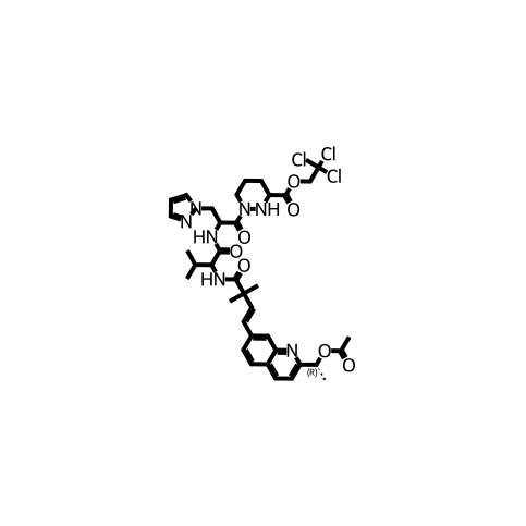 CC(=O)O[C@H](C)c1ccc2ccc(C=CC(C)(C)C(=O)NC(C(=O)NC(Cn3cccn3)C(=O)N3CCCC(C(=O)OCC(Cl)(Cl)Cl)N3)C(C)C)cc2n1